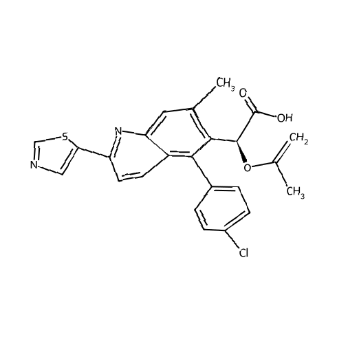 C=C(C)O[C@H](C(=O)O)c1c(C)cc2nc(-c3cncs3)ccc2c1-c1ccc(Cl)cc1